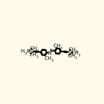 Cc1cc(C#C[Si](C)(C)C)ccc1/N=N/c1ccc(C#C[Si](C)(C)C)cc1C